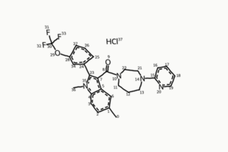 Cc1ccc2c(c1)c(C(=O)N1CCCN(c3ccccn3)CC1)c(-c1cccc(OC(F)(F)F)c1)n2C.Cl